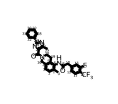 Cc1ccc2c(c1NC(=O)Cc1ccc(C(F)(F)F)c(F)c1)CCN(C(=O)c1nn(-c3ccccc3)nc1C)C2